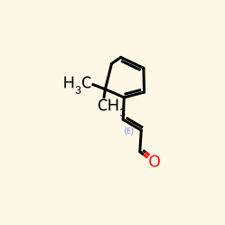 CC1(C)CC=CC=C1/C=C/C=O